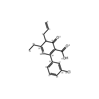 C=CCC1C(=O)C(C(=O)O)=C(c2cccc(Cl)c2)N=C1CC